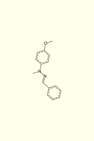 COc1ccc(N(C)/N=C/c2ccccc2)cc1